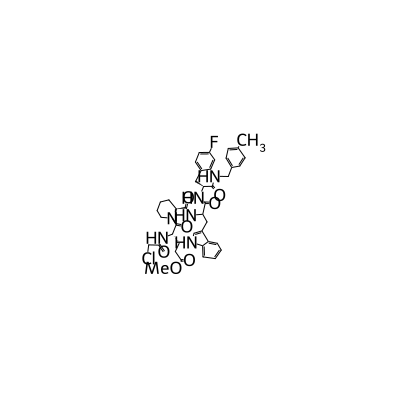 COC(=O)CC[C@H](NC(=O)CCl)C(=O)N1CCCC[C@H]1C(=O)NC(Cc1c[nH]c2ccccc12)C(=O)N[C@@H](Cc1ccc(F)cc1)C(=O)NCc1ccc(C)cc1